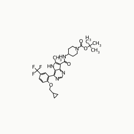 Cc1[nH]c2c(-c3cc(C(F)(F)F)ccc3OCC3CC3)ncnc2c1C(=O)NC1CCN(C(=O)OC(C)(C)C)CC1